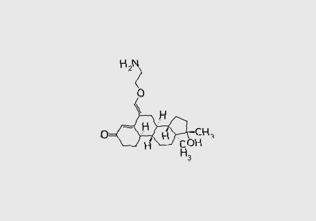 C[C@]1(O)CC[C@H]2[C@@H]3CC(=COCCN)C4=CC(=O)CC[C@@H]4[C@H]3CC[C@@]21C